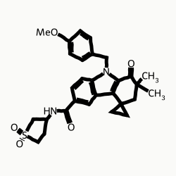 COc1ccc(Cn2c3c(c4cc(C(=O)NC5CCS(=O)(=O)C5)ccc42)C2(CC2)CC(C)(C)C3=O)cc1